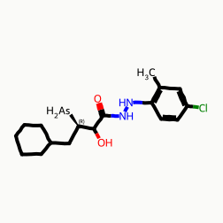 Cc1cc(Cl)ccc1NNC(=O)C(O)[C@H]([AsH2])CC1CCCCC1